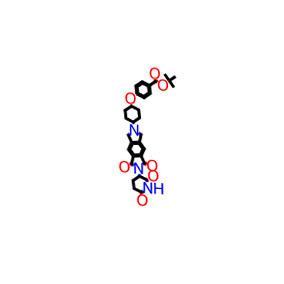 CC(C)(C)OC(=O)c1ccc(O[C@H]2CC[C@H](N3Cc4cc5c(cc4C3)C(=O)N(C3CCC(=O)NC3=O)C5=O)CC2)cc1